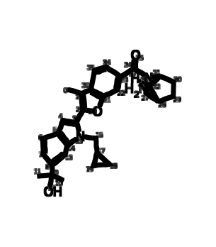 Cc1c(-c2cc3ccc(C(C)(C)O)cc3n2CC2CC2)oc2cc(C(=O)N3CC4CCC3[C@@H]4N)ccc12